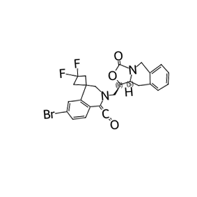 O=C=C1c2ccc(Br)cc2C2(CN1C[C@H]1OC(=O)N3Cc4ccccc4C[C@@H]13)CC(F)(F)C2